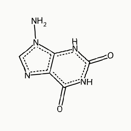 Nn1cnc2c(=O)[nH]c(=O)[nH]c21